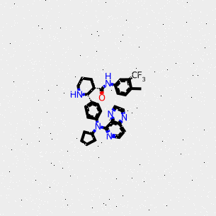 Cc1ccc(NC(=O)[C@H]2CCCN[C@H]2c2ccc(N(c3nccc4nccnc34)C3CCCC3)cc2)cc1C(F)(F)F